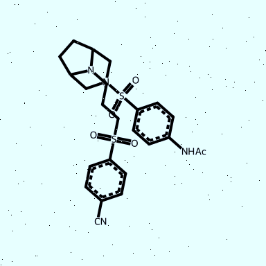 CC(=O)Nc1ccc(S(=O)(=O)N2CC3CCC(C2)N3CCCS(=O)(=O)c2ccc(C#N)cc2)cc1